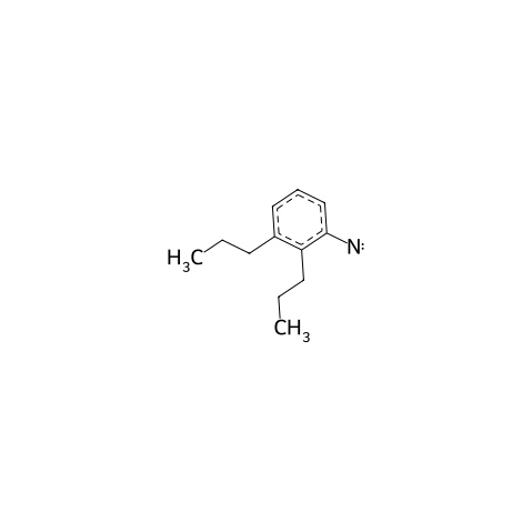 CCCc1cccc([N])c1CCC